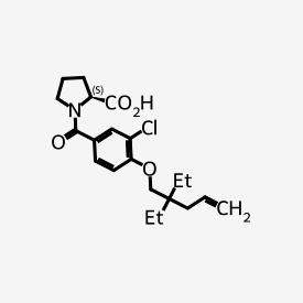 C=CCC(CC)(CC)COc1ccc(C(=O)N2CCC[C@H]2C(=O)O)cc1Cl